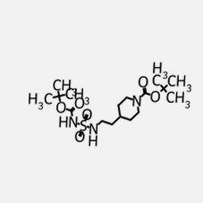 CC(C)(C)OC(=O)NS(=O)(=O)NCCC1CCN(C(=O)OC(C)(C)C)CC1